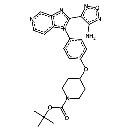 CC(C)(C)OC(=O)N1CCC(Oc2ccc(-n3c(-c4nonc4N)nc4cnccc43)cc2)CC1